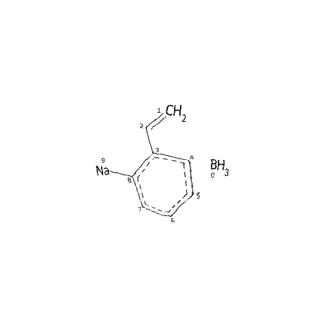 B.C=Cc1cccc[c]1[Na]